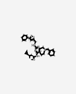 C/N=C(\C=C(/C)C1CC1)Nc1nc(NCc2cc(-c3ccccc3)no2)nc2c1CCN(Cc1ccccc1)C2